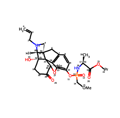 C=CCN1C[C@]23Cc4ccc(OP(=O)(COC)N[C@@H](C)C(=O)OC(C)C)c5c4C24[C@@H](O5)C(=O)CC[C@@]4(O)[C@H]13